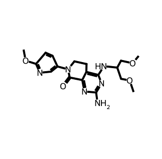 COCC(COC)Nc1nc(N)nc2c1CCN(c1ccc(OC)nc1)C2=O